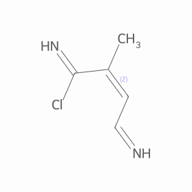 C/C(=C/C=N)C(=N)Cl